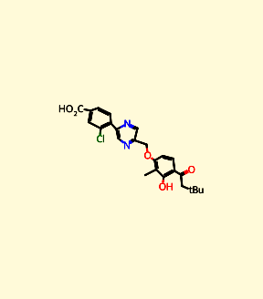 Cc1c(OCc2cnc(-c3ccc(C(=O)O)cc3Cl)cn2)ccc(C(=O)CC(C)(C)C)c1O